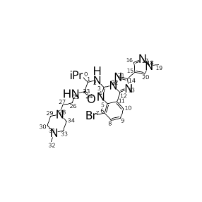 CC(C)C(Nc1nc2c(Br)cccc2c2nc(-c3cnn(C)c3)nn12)C(=O)NCCN1CCN(C)CC1